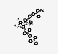 Cc1cc(F)ccc1-c1ncc(F)cc1C(=O)O.[Pd].c1ccc(P(c2ccccc2)c2ccccc2)cc1.c1ccc(P(c2ccccc2)c2ccccc2)cc1.c1ccc(P(c2ccccc2)c2ccccc2)cc1.c1ccc(P(c2ccccc2)c2ccccc2)cc1